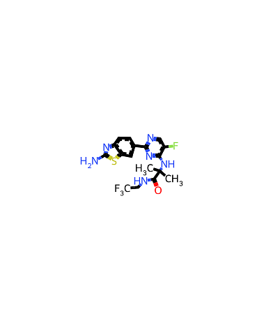 CC(C)(Nc1nc(-c2ccc3nc(N)sc3c2)ncc1F)C(=O)NCC(F)(F)F